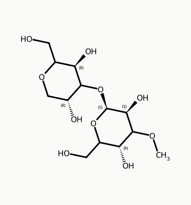 COC1[C@H](O)C(CO)O[C@@H](OC2[C@H](O)C(CO)OC[C@H]2O)[C@H]1O